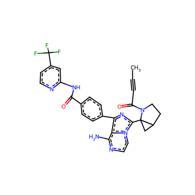 CC#CC(=O)N1CCC2CC21c1nc(-c2ccc(C(=O)Nc3cc(C(F)(F)F)ccn3)cc2)c2c(N)nccn12